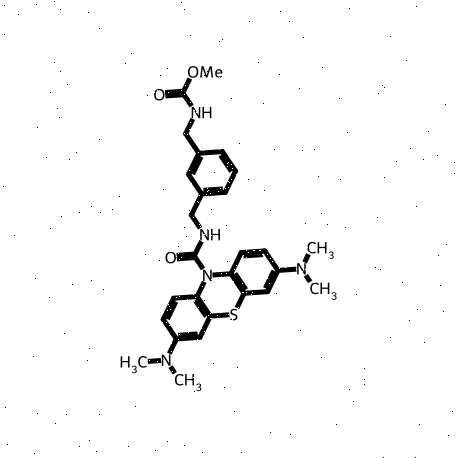 COC(=O)NCc1cccc(CNC(=O)N2c3ccc(N(C)C)cc3Sc3cc(N(C)C)ccc32)c1